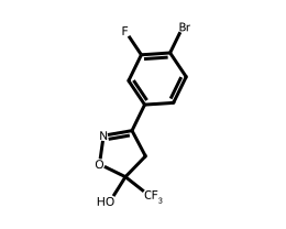 OC1(C(F)(F)F)CC(c2ccc(Br)c(F)c2)=NO1